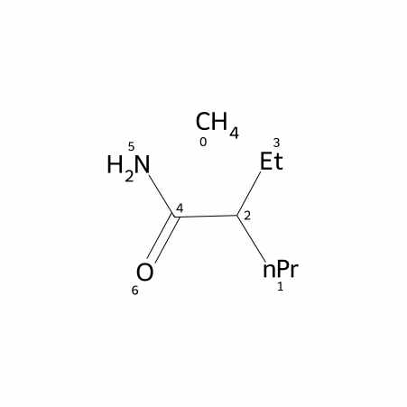 C.CCCC(CC)C(N)=O